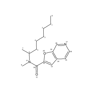 CCCCCCC(C)N(C)C(=O)c1cc2ccncc2o1